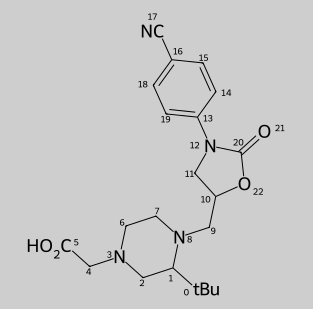 CC(C)(C)C1CN(CC(=O)O)CCN1CC1CN(c2ccc(C#N)cc2)C(=O)O1